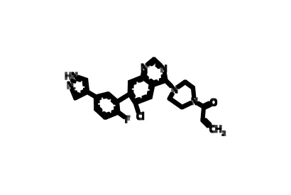 C=CC(=O)N1CCN(c2ncnc3cc(-c4cc(-c5cn[nH]c5)ccc4F)c(Cl)cc23)CC1